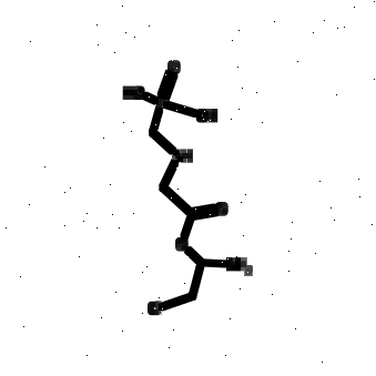 NC(CCl)OC(=O)CNCP(=O)(O)O